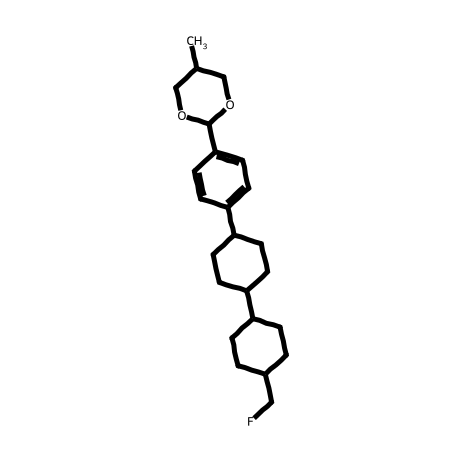 CC1COC(c2ccc(C3CCC(C4CCC(CF)CC4)CC3)cc2)OC1